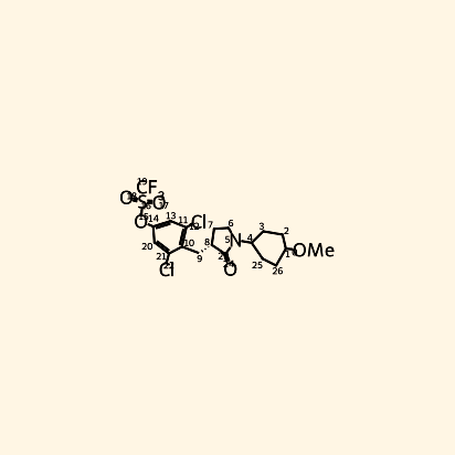 COC1CCC(N2CC[C@@H](Cc3c(Cl)cc(OS(=O)(=O)C(F)(F)F)cc3Cl)C2=O)CC1